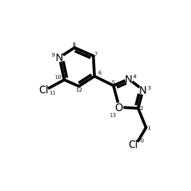 ClCc1nnc(-c2ccnc(Cl)c2)o1